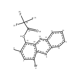 Cc1cc(Br)c2nc3ccccc3nc2c1OC(=O)C(F)(F)F